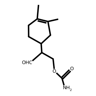 CC1=C(C)CC(C(C=O)COC(N)=O)CC1